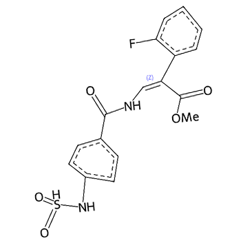 COC(=O)/C(=C\NC(=O)c1ccc(N[SH](=O)=O)cc1)c1ccccc1F